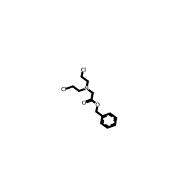 O=C(CN(CCCl)CCCl)OCc1ccccc1